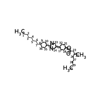 CCCCCCCCc1ccc(-c2ncc(-c3ccc(OC(=O)CC(C)CCCCC)cc3)cn2)cc1